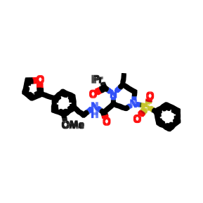 COc1cc(-c2ccco2)ccc1CNC(=O)C1CN(S(=O)(=O)c2ccccc2)CC(C)N1C(=O)C(C)C